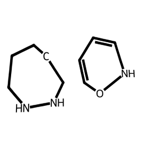 C1=CNOC=C1.C1CCNNCC1